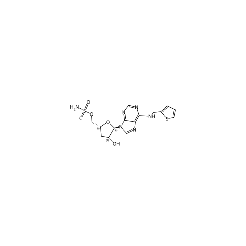 NS(=O)(=O)OC[C@H]1C[C@@H](O)[C@H](n2cnc3c(NCc4cccs4)ncnc32)O1